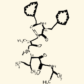 CC(C)NC(=O)C(=O)[C@@H](NC(=O)[C@H](C)NC(=O)[C@H](Cc1ccccc1)NC(=O)c1ccccc1)C(C)C